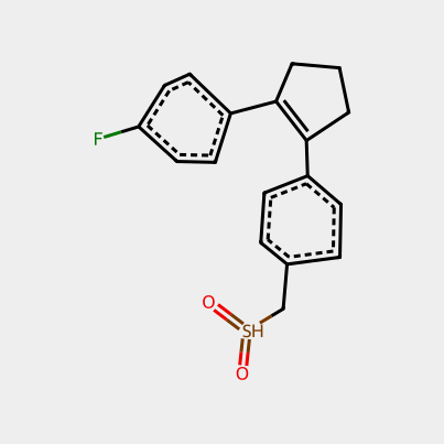 O=[SH](=O)Cc1ccc(C2=C(c3ccc(F)cc3)CCC2)cc1